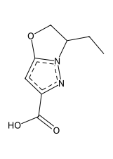 CCC1COc2cc(C(=O)O)nn21